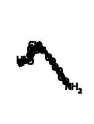 Cc1oc(-c2ccc(C(=O)NCc3ccccc3)cc2)nc1CS(=O)(=O)c1ccc(CCCOCCOCCOCCOCCOCCOCCN)cc1